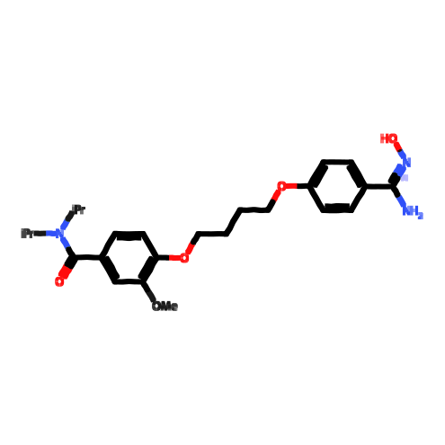 COc1cc(C(=O)N(C(C)C)C(C)C)ccc1OCCCCOc1ccc(/C(N)=N\O)cc1